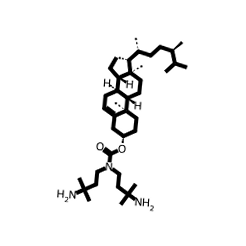 CC(C)[C@H](C)CC[C@@H](C)[C@H]1CC[C@H]2[C@@H]3CC=C4C[C@@H](OC(=O)N(CCC(C)(C)N)CCC(C)(C)N)CC[C@]4(C)[C@H]3CC[C@]12C